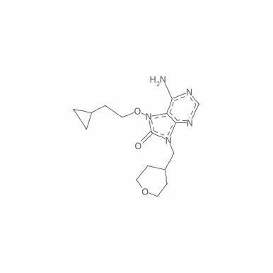 Nc1ncnc2c1n(OCCC1CC1)c(=O)n2CC1CCOCC1